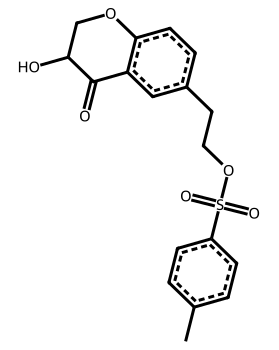 Cc1ccc(S(=O)(=O)OCCc2ccc3c(c2)C(=O)C(O)CO3)cc1